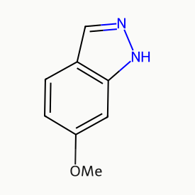 COc1ccc2cn[nH]c2c1